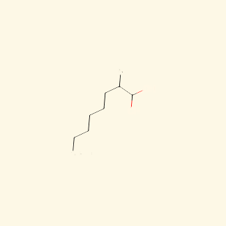 CCCCCCCCCCCCC(N=O)C(O)O